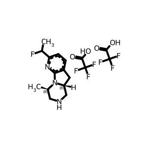 CC(F)c1ccc2c(n1)N1[C@@H](CNC[C@H]1C)C2.O=C(O)C(F)(F)F.O=C(O)C(F)(F)F